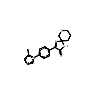 Cc1cncn1-c1ccc(C2=NC3(CCCOC3)NC2=O)cc1